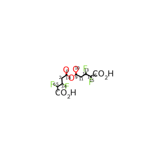 O=C(CC(F)C(F)C(=O)O)OC(=O)CC(F)C(F)C(=O)O